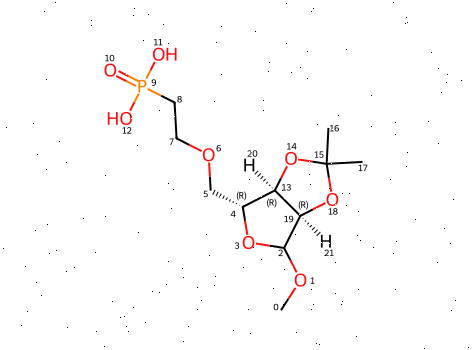 COC1O[C@H](COCCP(=O)(O)O)[C@H]2OC(C)(C)O[C@@H]12